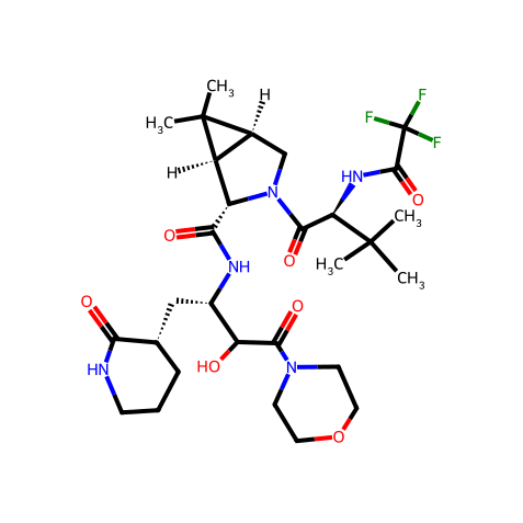 CC(C)(C)[C@H](NC(=O)C(F)(F)F)C(=O)N1C[C@H]2[C@@H]([C@H]1C(=O)N[C@@H](C[C@@H]1CCCNC1=O)C(O)C(=O)N1CCOCC1)C2(C)C